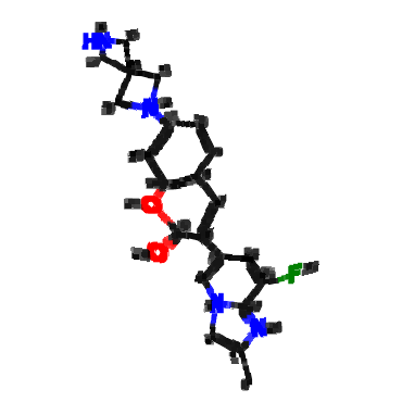 Cc1cn2cc(-c3cc4ccc(N5CC6(CNC6)C5)cc4oc3=O)cc(F)c2n1